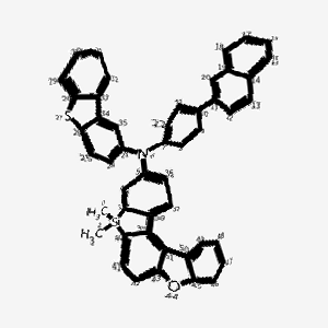 C[Si]1(C)c2cc(N(c3ccc(-c4ccc5ccccc5c4)cc3)c3ccc4sc5ccccc5c4c3)ccc2-c2c1ccc1oc3ccccc3c21